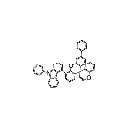 c1ccc(-c2ccc3c(c2)Oc2c(-c4cccc5c4c4ccccc4n5-c4ccccc4)cccc2C32c3ccccc3Oc3ccccc32)cc1